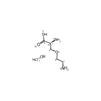 Cl.Cl.NCCOC[C@H](N)C(=O)O